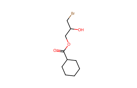 O=C(OCC(O)CBr)C1CCCCC1